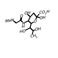 CNCC(=O)NC1C(O)CC(O)(C(=O)O)OC1C(O)C(C)O